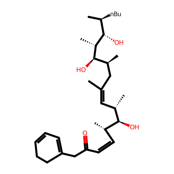 CCCC[C@H](C)[C@H](O)[C@@H](C)[C@H](O)[C@@H](C)C/C(C)=C\[C@H](C)[C@@H](O)[C@@H](C)/C=C\C(=O)CC1=CC=CCC1